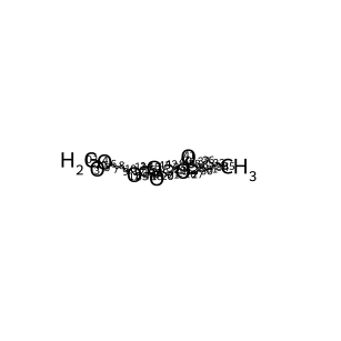 C=CC(=O)OCCCCCCOc1ccc(OC(=O)C2CCC(COc3ccc(C4CCC(CCC)CC4)cc3C=O)CC2)cc1